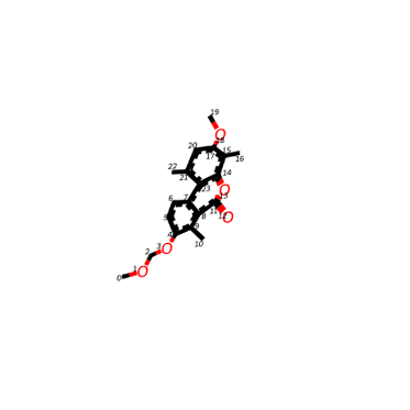 COCOc1ccc2c(c1C)c(=O)oc1c(C)c(OC)cc(C)c12